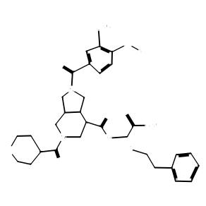 CNC(=O)[C@H](CCCc1ccccc1)NC(=O)C1CN(C(=O)C2CCOCC2)CC2CN(C(=O)c3ccc(OC(C)C)c(OC)c3)CC21